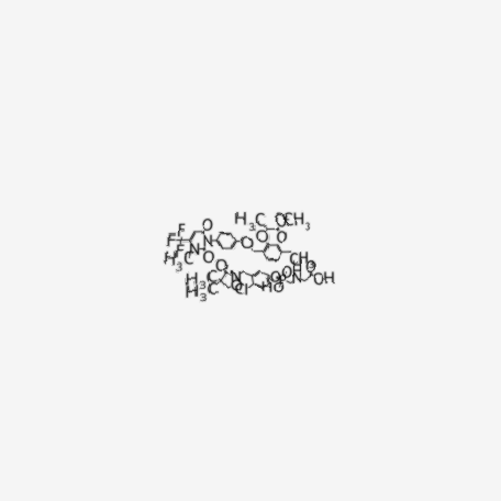 CC1(C)CON(Cc2ccccc2Cl)C1=O.CCc1ccc(COc2ccc(-n3c(=O)cc(C(F)(F)F)n(C)c3=O)cc2)c(OC(C)C(=O)OC)c1.O=C(O)CNCP(=O)(O)O